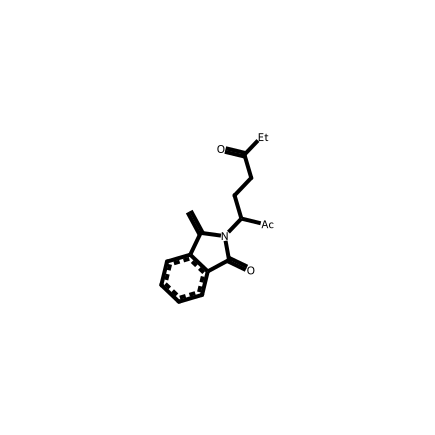 C=C1c2ccccc2C(=O)N1C(CCC(=O)CC)C(C)=O